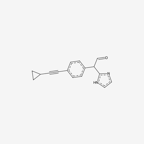 O=CC(c1ccc(C#CC2CC2)cc1)c1ncc[nH]1